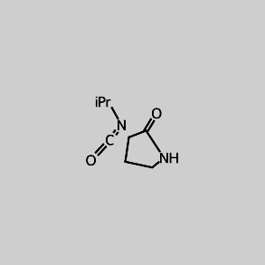 CC(C)N=C=O.O=C1CCCN1